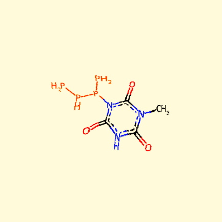 Cn1c(=O)[nH]c(=O)n(P(P)PP)c1=O